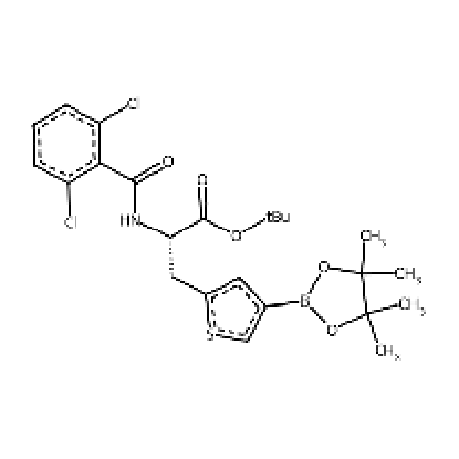 CC(C)(C)OC(=O)[C@H](Cc1cc(B2OC(C)(C)C(C)(C)O2)cs1)NC(=O)c1c(Cl)cccc1Cl